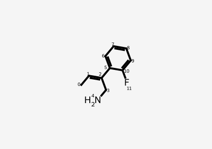 CC=C(CN)c1ccccc1F